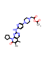 CC(=O)c1c(C)c2cnc(Nc3ccc(N4CCN(CC(=O)OC(=O)C(F)(F)F)CC4)cn3)nc2n(C2CCCC2)c1=O